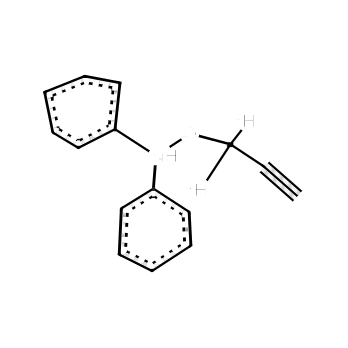 [2H]C([2H])(C#C)O[SiH](c1ccccc1)c1ccccc1